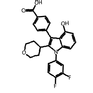 O=C(O)c1ccc(-c2c(C3CCOCC3)n(-c3ccc(F)c(F)c3)c3cccc(O)c23)cc1